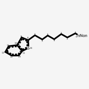 CCCCCCCCCCCCCCCCc1cc2ccccc2s1